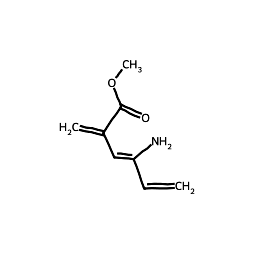 C=C/C(N)=C/C(=C)C(=O)OC